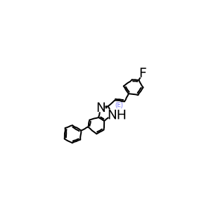 Fc1ccc(/C=C/c2nc3cc(-c4ccccc4)ccc3[nH]2)cc1